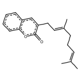 CC(C)=CCC/C(C)=C/Cc1cc2ccccc2oc1=O